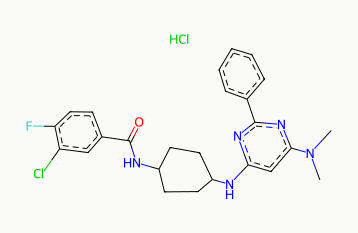 CN(C)c1cc(NC2CCC(NC(=O)c3ccc(F)c(Cl)c3)CC2)nc(-c2ccccc2)n1.Cl